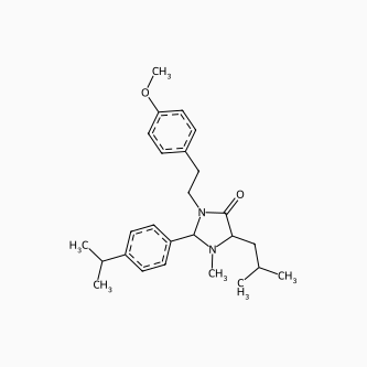 COc1ccc(CCN2C(=O)C(CC(C)C)N(C)C2c2ccc(C(C)C)cc2)cc1